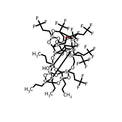 CCC[Si]1(O)OC23O[Si]45CC6(CC)O[Si]2(CCC)O[Si]3(CCC(F)(F)F)OC[SiH](CCC(F)(F)F)OC2(CC(F)(F)F)[Si]3(CCC(F)(F)F)O[Si]7(CCC(F)(F)F)OC8(C(F)(F)F)C[Si]9%10OC3(O7)[Si]2(OC9(O4)[Si](CCC(F)(F)F)(O[Si]6(CCC)O5)O[Si]8(CCC(F)(F)F)O%10)O1